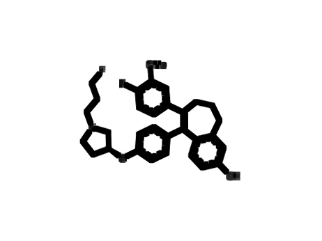 COc1cc(C2=C(c3ccc(O[C@H]4CCN(CCCF)C4)cc3)c3ccc(O)cc3CCC2)ccc1F